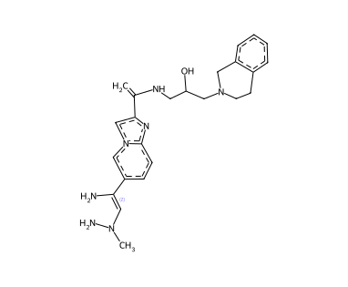 C=C(NCC(O)CN1CCc2ccccc2C1)c1cn2cc(/C(N)=C/N(C)N)ccc2n1